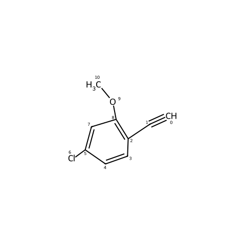 C#Cc1ccc(Cl)cc1OC